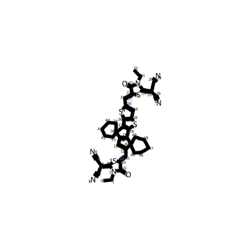 CCn1c(=C(C#N)C#N)s/c(=C\C2=CC3=C(c4sc5cc(/C=c6\sc(=C(C#N)C#N)n(CC)c6=O)sc5c4C34CCCCC4)C23CCCCC3)c1=O